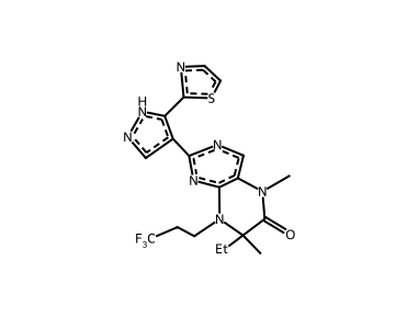 CCC1(C)C(=O)N(C)c2cnc(-c3cn[nH]c3-c3nccs3)nc2N1CCC(F)(F)F